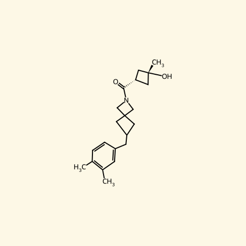 Cc1ccc(CC2CC3(C2)CN(C(=O)[C@H]2C[C@@](C)(O)C2)C3)cc1C